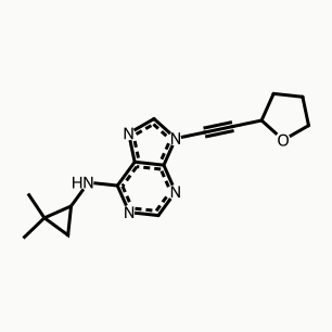 CC1(C)CC1Nc1ncnc2c1ncn2C#CC1CCCO1